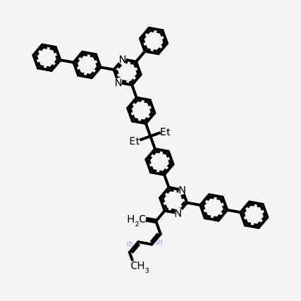 C=C(/C=C\C=C/C)c1cc(-c2ccc(C(CC)(CC)c3ccc(-c4cc(-c5ccccc5)nc(-c5ccc(-c6ccccc6)cc5)n4)cc3)cc2)nc(-c2ccc(-c3ccccc3)cc2)n1